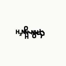 CC1=C(C=CC(=O)NCCNC(N)=O)C(C)(C)CCC1